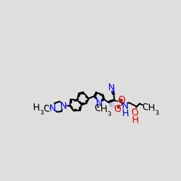 CCC(O)CNS(=O)(=O)/C(C#N)=C/c1ccc(-c2ccc3cc(N4CCN(C)CC4)ccc3c2)n1C